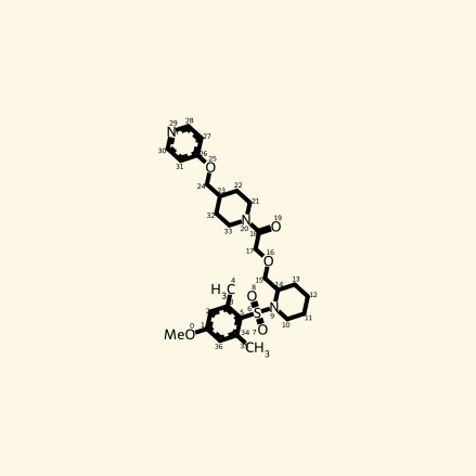 COc1cc(C)c(S(=O)(=O)N2CCCCC2COCC(=O)N2CCC(COc3ccncc3)CC2)c(C)c1